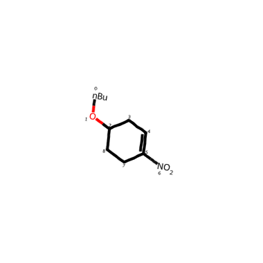 CCCCOC1CC=C([N+](=O)[O-])CC1